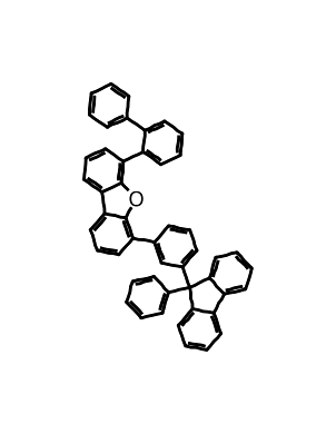 c1ccc(-c2ccccc2-c2cccc3c2oc2c(-c4cccc(C5(c6ccccc6)c6ccccc6-c6ccccc65)c4)cccc23)cc1